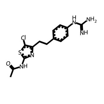 CC(=O)Nc1nc(CCc2ccc(NC(=N)N)cc2)c(Cl)s1